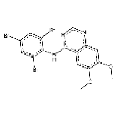 COc1cc2ncnc(Nc3c(Br)cc(Br)cc3Br)c2cc1OC